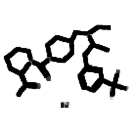 CCN(CC1CCN(C(=O)N2CCCCC2C(C)=O)CC1)C(C)Cc1cccc(C(F)(F)F)c1.Cl